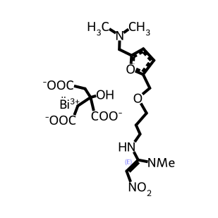 CN/C(=C\[N+](=O)[O-])NCCCOCc1ccc(CN(C)C)o1.O=C([O-])CC(O)(CC(=O)[O-])C(=O)[O-].[Bi+3]